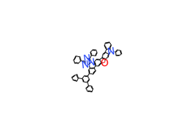 c1ccc(-c2cc(-c3ccccc3)cc(-c3ccc(-c4ccc5c(c4)oc4cc6c(cc45)c4ccccc4n6-c4ccccc4)c(-c4nc(-c5ccccc5)nc(-c5ccccc5)n4)c3)c2)cc1